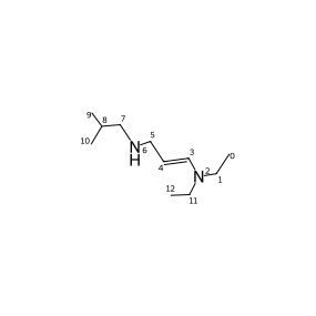 CCN(C=CCNCC(C)C)CC